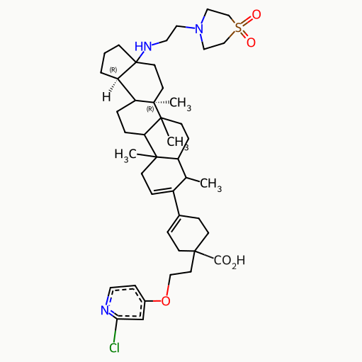 CC1C(C2=CCC(CCOc3ccnc(Cl)c3)(C(=O)O)CC2)=CCC2(C)C1CCC1(C)C2CCC2[C@H]3CCCC3(NCCN3CCS(=O)(=O)CC3)CC[C@]21C